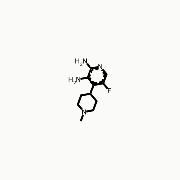 CN1CCC(c2c(F)cnc(N)c2N)CC1